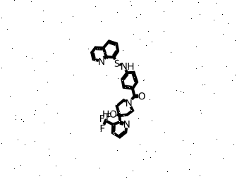 O=C(c1ccc(NSc2cccc3cccnc23)cc1)N1CCC(O)(c2ncccc2C(F)(F)F)CC1